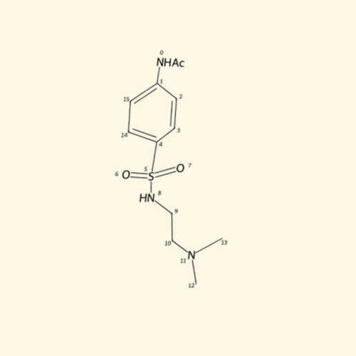 CC(=O)Nc1ccc(S(=O)(=O)NCCN(C)C)cc1